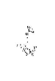 CCOP(=O)(CN[C@@H](CCCNC(=N)N)C(=O)O)OCC